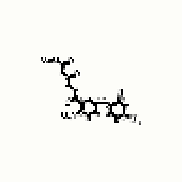 COC(=O)CC(=O)CCC(=O)c1cc(Oc2ccc(C(F)(F)F)cc2Cl)ccc1[N+](=O)[O-]